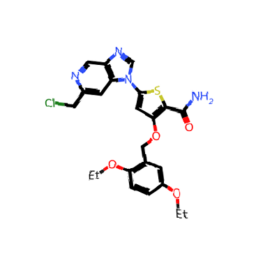 CCOc1ccc(OCC)c(COc2cc(-n3cnc4cnc(CCl)cc43)sc2C(N)=O)c1